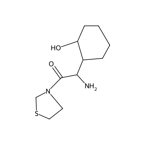 NC(C(=O)N1CCSC1)C1CCCCC1O